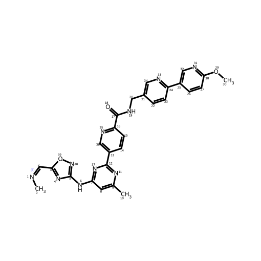 C/N=C\c1nc(Nc2cc(C)nc(-c3ccc(C(=O)NCc4ccc(-c5ccc(OC)nc5)nc4)nc3)n2)no1